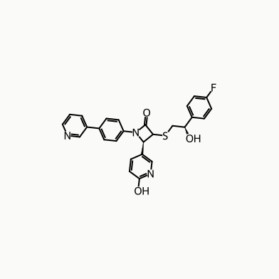 O=C1C(SC[C@H](O)c2ccc(F)cc2)[C@@H](c2ccc(O)nc2)N1c1ccc(-c2cccnc2)cc1